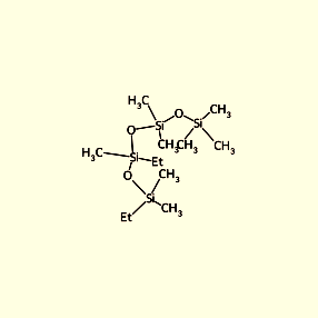 CC[Si](C)(C)O[Si](C)(CC)O[Si](C)(C)O[Si](C)(C)C